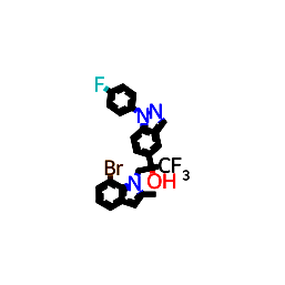 Cc1cc2cccc(Br)c2n1CC(O)(c1ccc2c(cnn2-c2ccc(F)cc2)c1)C(F)(F)F